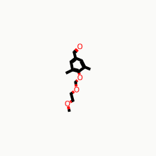 COCCOCOc1c(C)cc(C=O)cc1C